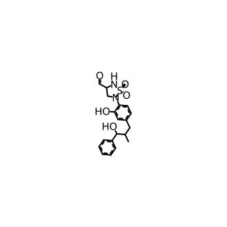 CC(Cc1ccc(N2CC(C=O)NS2(=O)=O)c(O)c1)C(O)c1ccccc1